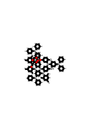 [C-]#[N+]c1ccc2c(c1)B1c3cc4c(cc3Nc3cc(N(c5ccccc5)c5ccccc5)cc(c31)O2)N(c1c(C)cc(C)cc1C)c1cc(N(c2ccccc2)c2ccccc2)cc2c1B4c1cc3c(cc1N2c1c(C)cc(C)cc1C)N(c1c(C)cc(C)cc1C)c1cc(N(c2ccccc2)c2ccccc2)cc2c1B3c1cc(C#N)ccc1O2